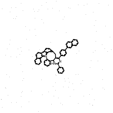 c1ccc(C2=NC(c3ccc(-c4ccc5ccccc5c4)cc3)=C3Cc4ccc5c6ccc7ccccc7c6n(c5c4)-c4ccccc4C3N2)cc1